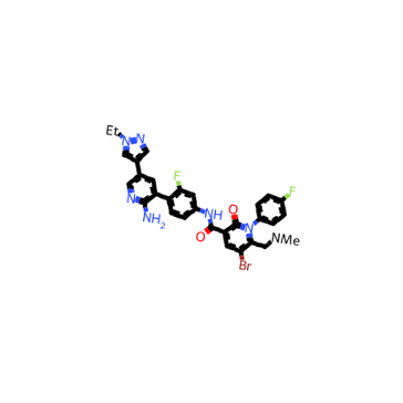 CCn1cc(-c2cnc(N)c(-c3ccc(NC(=O)c4cc(Br)c(CNC)n(-c5ccc(F)cc5)c4=O)cc3F)c2)cn1